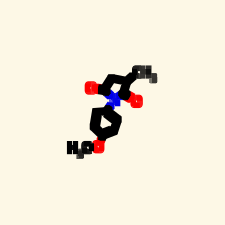 COc1ccc(N2C(=O)CC(C)C2=O)cc1